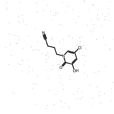 N#CCCCn1cc(Cl)cc(O)c1=O